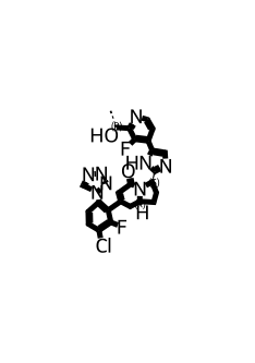 C[C@@H](O)c1nccc(-c2cnc([C@@H]3CC[C@@H]4CC(c5c(-n6cnnn6)ccc(Cl)c5F)=CC(=O)N43)[nH]2)c1F